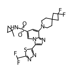 CC1(NS(=O)(=O)c2cc(N3CCC4(CC3)CC(F)(F)C4)c3ncc(-c4nnc(C(F)F)s4)n3c2)CC1